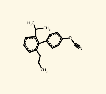 CCCc1cccc(C(C)C)c1-c1ccc(OC#N)cc1